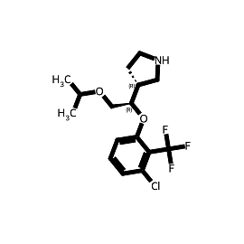 CC(C)OC[C@H](Oc1cccc(Cl)c1C(F)(F)F)[C@@H]1CCNC1